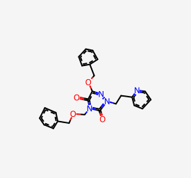 O=c1c(OCc2ccccc2)nn(CCc2ccccn2)c(=O)n1COCc1ccccc1